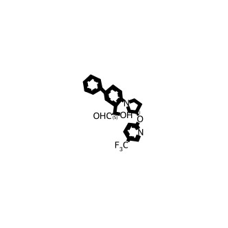 O=C[C@@H](O)c1cc(-c2ccccc2)ccc1N1CC[C@@H](Oc2ccc(C(F)(F)F)cn2)C1